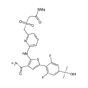 CNC(=O)CS(=O)(=O)Cc1cccc(Nc2sc(-c3c(F)cc(C(C)(C)O)cc3F)cc2C(N)=O)n1